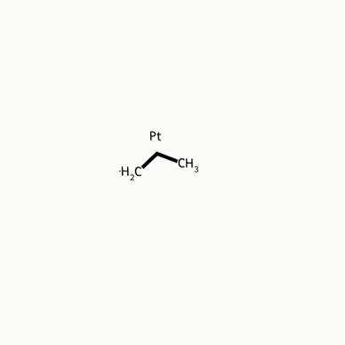 [CH2]CC.[Pt]